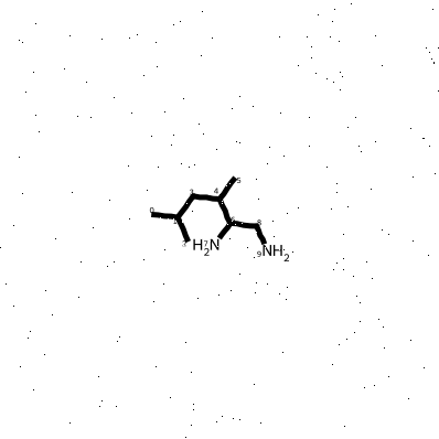 CC(C)CC(C)C(N)CN